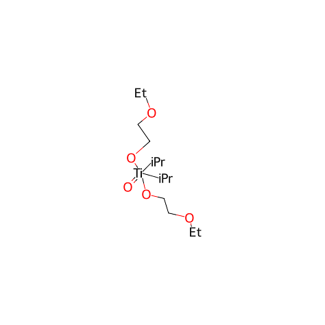 CCOCC[O][Ti](=[O])([O]CCOCC)([CH](C)C)[CH](C)C